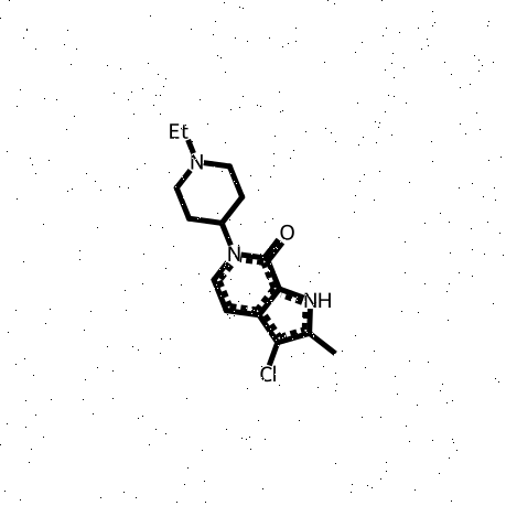 [CH2]CN1CCC(n2ccc3c(Cl)c(C)[nH]c3c2=O)CC1